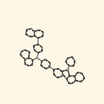 c1ccc(-n2c3cc(-c4ccc(N(c5ccc(-c6cccc7ccccc67)cc5)c5cccc6ccccc56)cc4)ccc3c3ccc4ccccc4c32)cc1